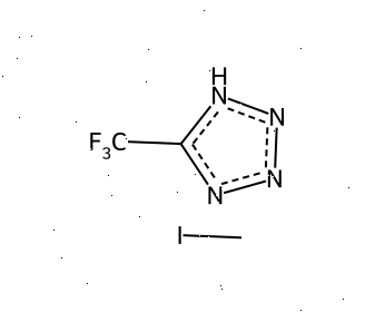 CI.FC(F)(F)c1nnn[nH]1